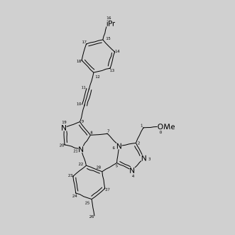 COCc1nnc2n1Cc1c(C#Cc3ccc(C(C)C)cc3)ncn1-c1ccc(C)cc1-2